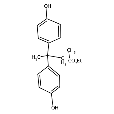 CC(C)(c1ccc(O)cc1)c1ccc(O)cc1.CCOC(C)=O